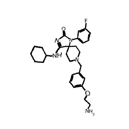 NCCOc1cccc(CN2CCC3(CC2)C(NC2CCCCC2)=NC(=O)N3c2cccc(F)c2)c1